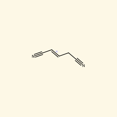 N#C/C=C/CC#N